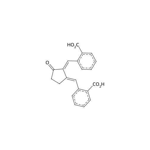 O=C1CCC(=C\c2ccccc2C(=O)O)/C1=C\c1ccccc1C(=O)O